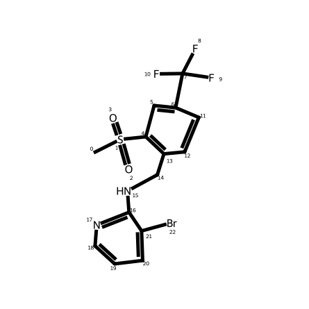 CS(=O)(=O)c1cc(C(F)(F)F)ccc1CNc1ncccc1Br